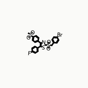 CS(=O)(=O)c1ccc(-c2nc(S(=O)(=O)Cc3ccc(Br)cc3)sc2-c2ccc(F)cc2)cc1